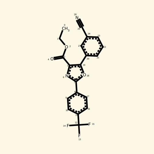 CCOC(=O)c1nc(-c2ccc(C(F)(F)F)cc2)oc1-c1cccc(C#N)c1